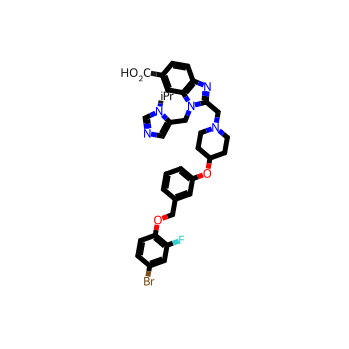 CC(C)n1cncc1Cn1c(CN2CCC(Oc3cccc(COc4ccc(Br)cc4F)c3)CC2)nc2ccc(C(=O)O)cc21